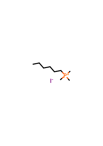 CCCCCC[P+](C)(C)C.[I-]